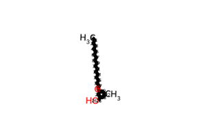 CCCCCCCCCCCCCCCCCCOc1cc(C)cc(CO)c1